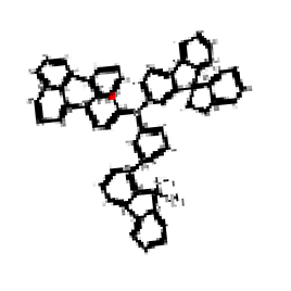 CC1(C)c2ccccc2-c2cccc(-c3cccc(N(c4ccc(-c5cccc6cccc(-c7ccccc7)c56)cc4)c4ccc5c(c4)C4(CCc6ccccc64)c4ccccc4-5)c3)c21